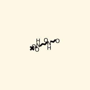 CC(C)(C)OC(=O)NCCCC(=O)NCCC=O